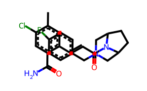 Cc1cc(C=CC(=O)N2C3CCC2CN(Cc2ccc(F)cc2)C3)c(C(N)=O)cc1Cl